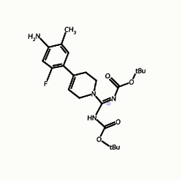 Cc1cc(C2=CCN(/C(=N\C(=O)OC(C)(C)C)NC(=O)OC(C)(C)C)CC2)c(F)cc1N